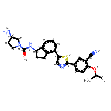 CC(C)Oc1ccc(-c2ncc(-c3cccc4c3CC[C@H]4NC(=O)N3CC[C@@H](N)C3)s2)cc1C#N